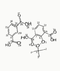 CC(C)(C)OOc1c(C(=O)O)cccc1C(=O)O.O=C(O)c1cccc(C(=O)O)c1